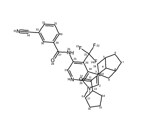 Cn1cc(C2C3CCC2CN(C(=O)C2CCCC2)C3)c2c(C(F)(F)F)c(NC(=O)c3cccc(C#N)c3)cnc21